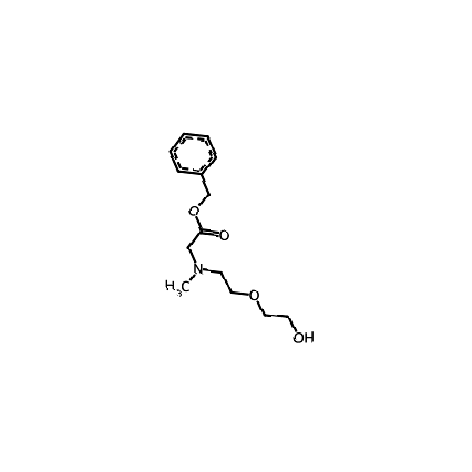 CN(CCOCCO)CC(=O)OCc1ccccc1